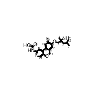 CC(C)CC(C)(N)COc1cc2c(cc1F)-c1cc(NC(=O)O)ncc1OC2